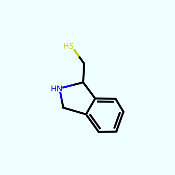 SCC1NCc2ccccc21